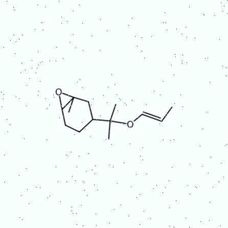 CC=COC(C)(C)C1CCC2OC2(C)C1